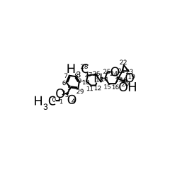 CCOC(=O)c1cccc([C@H]2CCN([C@@H]3CCC(C(=O)O)(C4CC4)OC3)C[C@@H]2C)c1